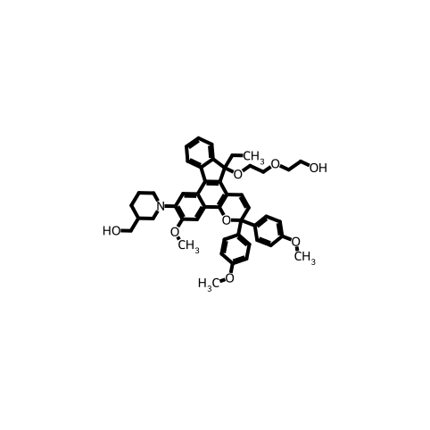 CCC1(OCCOCCO)c2ccccc2-c2c1c1c(c3cc(OC)c(N4CCCC(CO)C4)cc23)OC(c2ccc(OC)cc2)(c2ccc(OC)cc2)C=C1